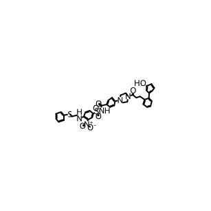 O=C(NS(=O)(=O)c1ccc(NCCSc2ccccc2)c([N+](=O)[O-])c1)c1ccc(N2CCN(C(=O)CCc3ccccc3-c3cccc(O)c3)CC2)cc1